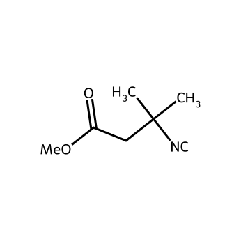 [C-]#[N+]C(C)(C)CC(=O)OC